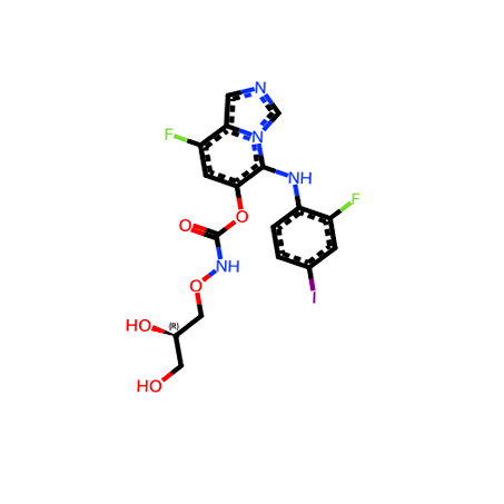 O=C(NOC[C@H](O)CO)Oc1cc(F)c2cncn2c1Nc1ccc(I)cc1F